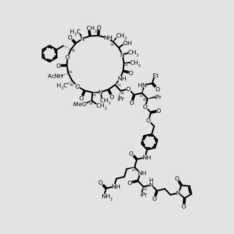 C=C1C(=O)N[C@@H](C)C(O)N(C)[C@@H](C)C(=O)N[C@@H]([C@H](OC(=O)[C@@H](NC(=O)CC)[C@H](OC(=O)OCc2ccc(NC(=O)[C@H](CCCNC(N)=O)NC(=O)[C@@H](NC(=O)CCN3C(=O)C=CC3=O)C(C)C)cc2)C(C)C)C(C)C)C(=O)N(C)[C@@H]([C@@H](C)OC)C(=O)O[C@H](C)[C@H](NC(C)=O)C(=O)O[C@H](Cc2ccccc2)C(=O)N1C